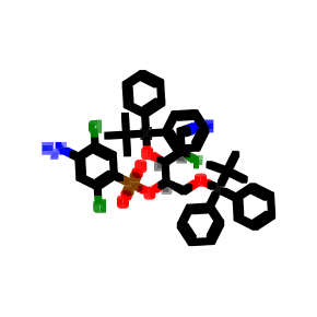 CC(C)(C)[Si](OC[C@@H](OS(=O)(=O)c1cc(Cl)c(N)cc1Cl)[C@@H](O[Si](c1ccccc1)(c1ccccc1)C(C)(C)C)[C@H](F)C=N)(c1ccccc1)c1ccccc1